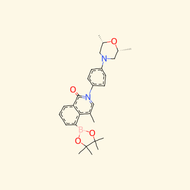 Cc1cn(-c2ccc(N3C[C@@H](C)O[C@@H](C)C3)cc2)c(=O)c2cccc(B3OC(C)(C)C(C)(C)O3)c12